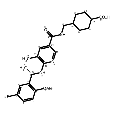 COc1ccc(F)cc1[C@H](C)Nc1ncc(C(=O)NCC2CCC(C(=O)O)CC2)cc1C